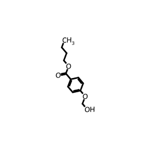 CCCCOC(=O)c1ccc(OCO)cc1